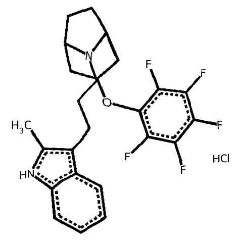 Cc1[nH]c2ccccc2c1CCCN1C2CCC1CC(Oc1c(F)c(F)c(F)c(F)c1F)C2.Cl